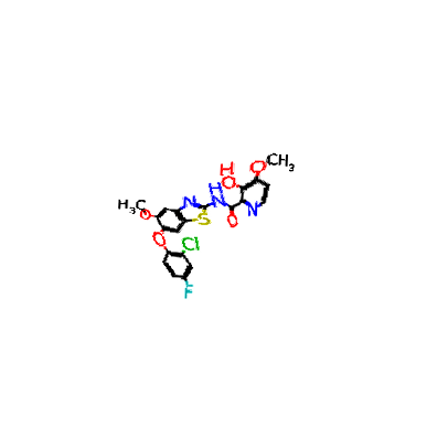 COc1cc2nc(NC(=O)c3nccc(OC)c3O)sc2cc1Oc1ccc(F)cc1Cl